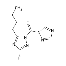 CCCCc1nc(F)nn1C(=O)n1cncn1